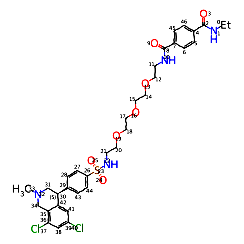 CCNC(=O)c1ccc(C(=O)NCCOCCOCCOCCNS(=O)(=O)c2ccc([C@@H]3CN(C)Cc4c(Cl)cc(Cl)cc43)cc2)cc1